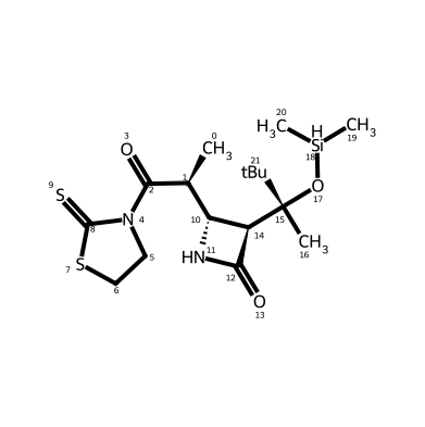 C[C@H](C(=O)N1CCSC1=S)[C@H]1NC(=O)[C@@H]1[C@@](C)(O[SiH](C)C)C(C)(C)C